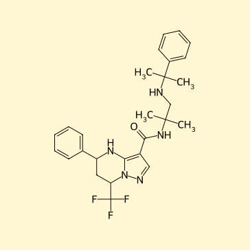 CC(C)(CNC(C)(C)c1ccccc1)NC(=O)c1cnn2c1NC(c1ccccc1)CC2C(F)(F)F